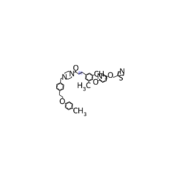 Cc1ccc(OCCc2ccc(CN3CCN(C(=O)/C=C/c4cc(C)c(Oc5ccc(OCc6cncs6)cn5)c(C)c4)CC3)cc2)cc1